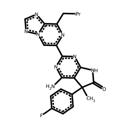 CC(C)Cc1nc(-c2nc(N)c3c(n2)NC(=O)C3(C)c2ccc(F)cc2)cn2ncnc12